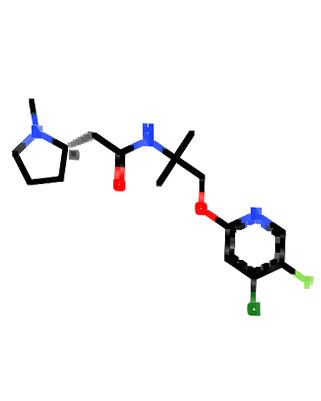 CN1CCC[C@H]1CC(=O)NC(C)(C)COc1cc(Cl)c(F)cn1